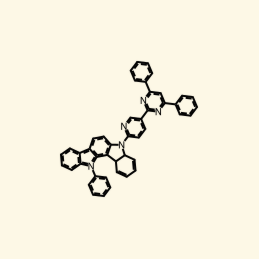 C1=CC2c3c(ccc4c5ccccc5n(-c5ccccc5)c34)N(c3ccc(-c4nc(-c5ccccc5)cc(-c5ccccc5)n4)cn3)C2C=C1